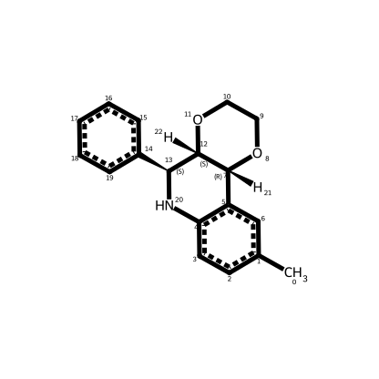 Cc1ccc2c(c1)[C@H]1OCCO[C@H]1[C@H](c1ccccc1)N2